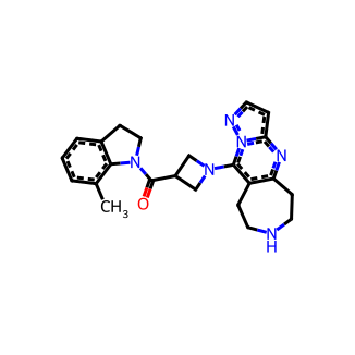 Cc1cccc2c1N(C(=O)C1CN(c3c4c(nc5ccnn35)CCNCC4)C1)CC2